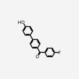 O=C(c1ccc(F)cc1)c1ccc(-c2ccc(O)cc2)cc1